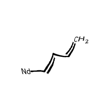 C=CC=[CH][Nd]